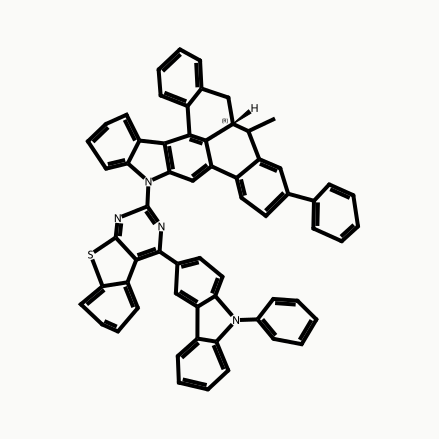 CC1c2cc(-c3ccccc3)ccc2-c2cc3c(c4c2[C@@H]1Cc1ccccc1-4)c1ccccc1n3-c1nc(-c2ccc3c(c2)c2ccccc2n3-c2ccccc2)c2c(n1)sc1ccccc12